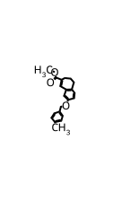 COC(=O)C1=Cc2cc(OCc3ccc(C)cc3)ccc2CCC1